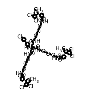 CN1Cc2c(Cl)cc(Cl)cc2[C@H](c2cccc(S(=O)(=O)NCCOCCOCCOCCNC(=O)CCC(CCC(=O)NCCOCCOCCOCCNS(=O)(=O)c3cccc([C@@H]4CN(C)Cc5c(Cl)cc(Cl)cc54)c3)(CCC(=O)NCCOCCOCCOCCNS(=O)(=O)c3cccc([C@@H]4CN(C)Cc5c(Cl)cc(Cl)cc54)c3)Nc3ccc(-c4ccc(Cl)cc4)cc3)c2)C1